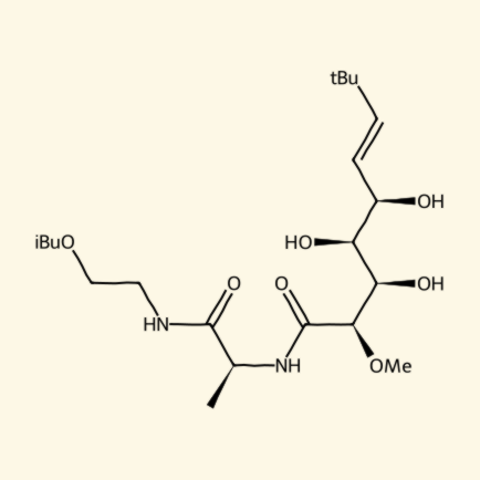 CO[C@@H](C(=O)N[C@@H](C)C(=O)NCCOCC(C)C)[C@H](O)[C@@H](O)[C@H](O)/C=C/C(C)(C)C